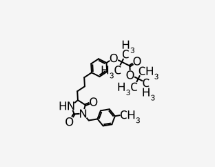 Cc1ccc(CN2C(=O)NC(CCCc3ccc(OC(C)(C)C(=O)OC(C)(C)C)cc3)C2=O)cc1